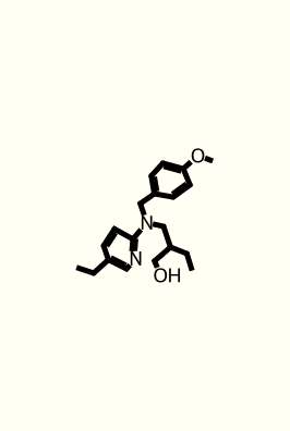 CCc1ccc(N(Cc2ccc(OC)cc2)CC(CC)CO)nc1